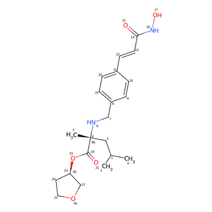 CC(C)C[C@@](C)(NCc1ccc(C=CC(=O)NO)cc1)C(=O)O[C@@H]1CCOC1